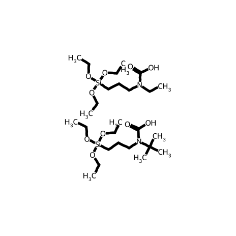 CCO[Si](CCCN(C(=O)O)C(C)(C)C)(OCC)OCC.CCO[Si](CCCN(CC)C(=O)O)(OCC)OCC